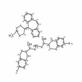 CN1CCC(=C2c3ccccc3C=Cc3ccccc32)CC1.OC(CNCC(O)C1CCc2cc(F)ccc2O1)C1CCc2cc(F)ccc2O1